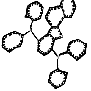 c1ccc(N(c2ccccc2)c2ccc(N(c3ccccc3)c3ccccc3)c3c2sc2c4ccccc4ccc23)cc1